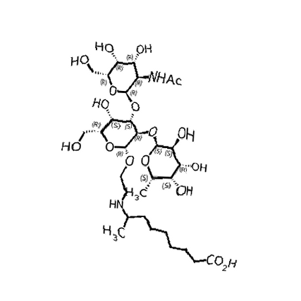 CC(=O)N[C@H]1[C@@H](O[C@H]2[C@@H](O)[C@@H](CO)O[C@@H](OCCNC(C)CCCCCCC(=O)O)[C@@H]2O[C@@H]2O[C@@H](C)[C@@H](O)[C@@H](O)[C@@H]2O)O[C@H](CO)[C@H](O)[C@@H]1O